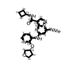 CNc1cc(Nc2cccnc2O[C@@H]2CCOC2)nc2c(C(=O)NC3CCC3)cnn12